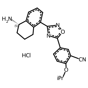 CC(C)Oc1ccc(-c2nc(-c3cccc4c3CCC[C@@H]4N)no2)cc1C#N.Cl